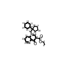 CCOC(=O)c1cn(CC2(c3ccccc3)CCCC2)c2cccnc2c1=O